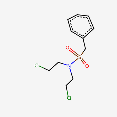 O=S(=O)(Cc1ccccc1)N(CCCl)CCCl